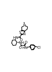 CN1CCc2nc(C(=O)N[C@@H]3CCCC[C@@H]3NC(=O)C(=O)Nc3ccc(Cl)cc3)sc2C1